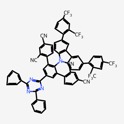 N#Cc1ccc(-c2cc(-c3nc(-c4ccccc4)nc(-c4ccccc4)n3)cc(-c3ccc(C#N)cc3C#N)c2-n2c3ccc(-c4ccc(C(F)(F)F)cc4C(F)(F)F)cc3c3cc(-c4ccc(C(F)(F)F)cc4C(F)(F)F)ccc32)c(C#N)c1